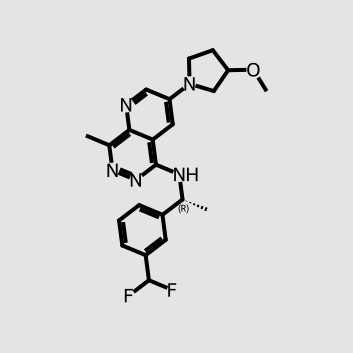 COC1CCN(c2cnc3c(C)nnc(N[C@H](C)c4cccc(C(F)F)c4)c3c2)C1